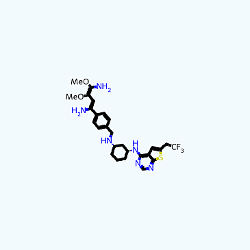 CO/C(N)=C(/C=C(\N)c1ccc(CN[C@H]2CCC[C@@H](Nc3ncnc4sc(CC(F)(F)F)cc34)C2)cc1)OC